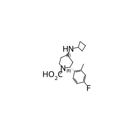 Cc1cc(F)ccc1[C@H]1C[C@H](NC2CCC2)CCN1C(=O)O